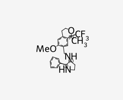 COc1cc2c(cc1CN[C@H]1CCN[C@H]1c1ccccc1)[C@](C)(C(F)(F)F)OCC2